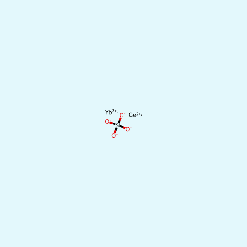 [Ge+2].[O-][Si]([O-])([O-])[O-].[Yb+3]